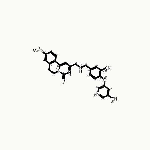 COc1ccc2c(c1)CCn1c-2cc(CNCc2ccc(Oc3cncc(C#N)c3)c(C#N)c2)nc1=O